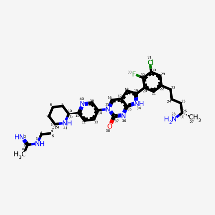 CC(=N)NCC[C@@H]1CCC[C@@H](c2ccc(-n3cc4cc(-c5cc(CCC[C@H](C)N)cc(Cl)c5F)[nH]c4nc3=O)cn2)N1